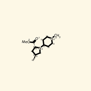 COC(=O)[C@H]1C[C@H](F)CN1C1CCN(C)CC1